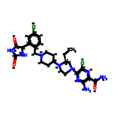 CC[C@H]1CN(c2nc(N)c(C(N)=O)nc2Cl)CCN1C1CCN(Cc2ccc(Cl)cc2C2NC(=O)NC2=O)CC1